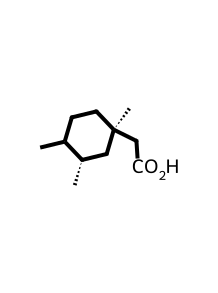 CC1CC[C@@](C)(CC(=O)O)C[C@@H]1C